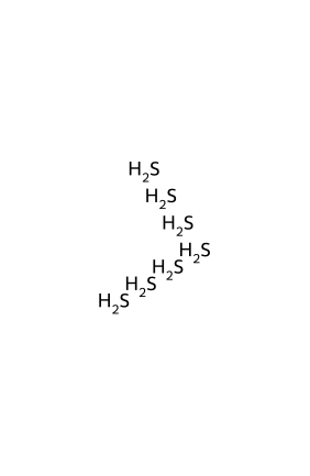 S.S.S.S.S.S.S